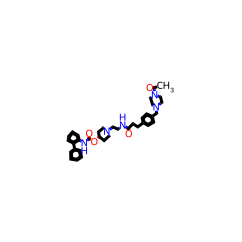 CC(=O)N1CCN(Cc2ccc(CCC(=O)NCCN3CCC(OC(=O)Nc4ccccc4-c4ccccc4)CC3)cc2)CC1